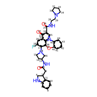 O=C(CC1CNc2ccccc21)NC1CCN(c2c(F)cc3c(=O)c(C(=O)NCCN4CCCC4)cn4c3c2Oc2ccccc2-4)C1